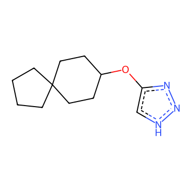 c1[nH]nnc1OC1CCC2(CCCC2)CC1